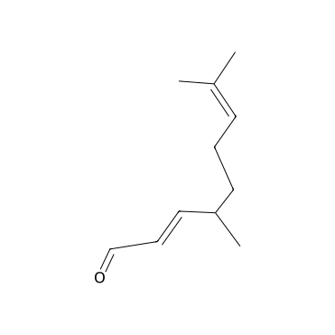 CC(C)=CCCC(C)C=CC=O